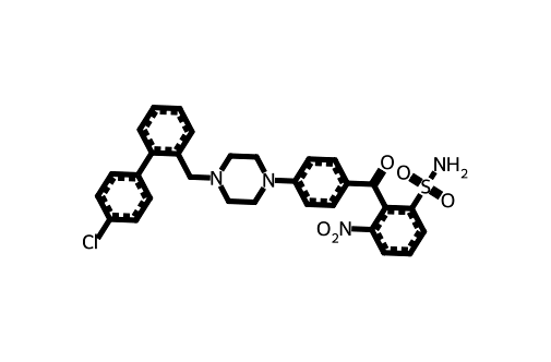 NS(=O)(=O)c1cccc([N+](=O)[O-])c1C(=O)c1ccc(N2CCN(Cc3ccccc3-c3ccc(Cl)cc3)CC2)cc1